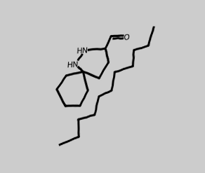 CCCCCCCCCCC.O=CC1CCC2(CCCCC2)NN1